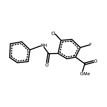 COC(=O)c1cc(C(=O)Nc2ccccc2)c(Cl)cc1F